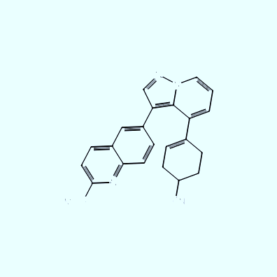 COc1ccc2cc(-c3cnn4cccc(C5=CCC(C#N)CC5)c34)ccc2n1